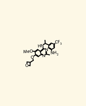 COc1cc2c(NC(C)c3cc(N)cc(C(F)(F)F)c3)nc(C)nc2cc1OCC1COC1